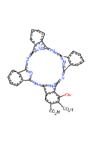 O=C(O)c1cc2c3nc4nc(nc5[nH]c(nc6nc(nc([nH]3)c2c(O)c1C(=O)O)-c1ccccc1-6)c1ccccc51)-c1ccccc1-4